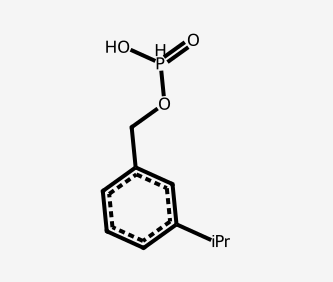 CC(C)c1cccc(CO[PH](=O)O)c1